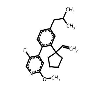 C=CC1(c2cc(CC(C)C)ccc2-c2cc(OC)ncc2F)CCCC1